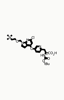 CC(C)(C)OC(=O)N[C@@H](Cc1ccc(Oc2cc(Cl)nc3c2ccn3COCC[Si](C)(C)C)cn1)C(=O)O